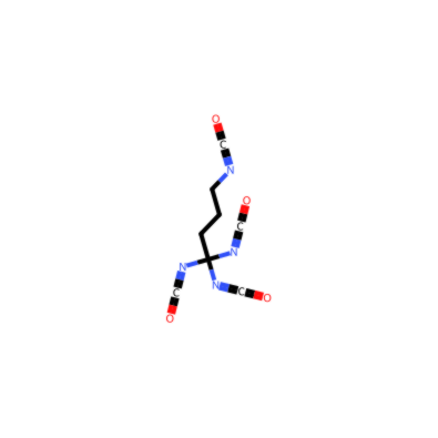 O=C=NCCCC(N=C=O)(N=C=O)N=C=O